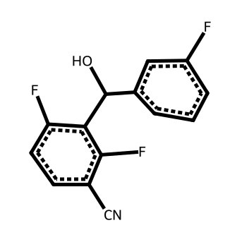 N#Cc1ccc(F)c(C(O)c2cccc(F)c2)c1F